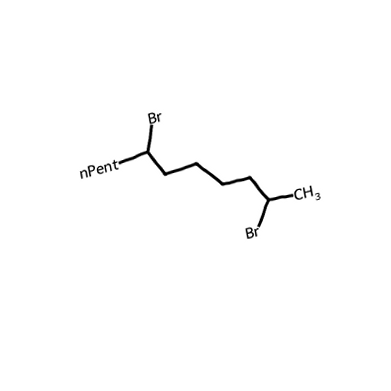 CCC[CH]CC(Br)CCCCC(C)Br